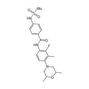 Cc1c(N2CC(C)OC(C)C2)ccc(NC(=O)c2ccc(NS(=O)(=O)C(C)(C)C)cc2)c1F